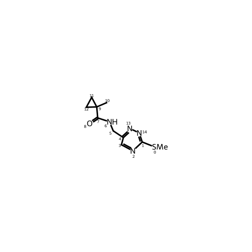 CSc1ncc(CNC(=O)C2(C)CC2)nn1